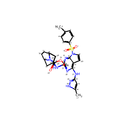 Cc1ccc(S(=O)(=O)n2ccc3c(Nc4cc(C)[nH]n4)nc(NC4CC5CCC(C4)N5C(=O)OC(C)(C)C)nc32)cc1